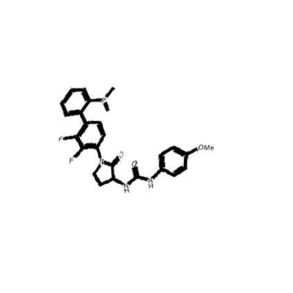 COc1ccc(NC(=O)NC2CCN(c3ccc(-c4ccccc4P(C)C)c(F)c3F)C2=O)cc1